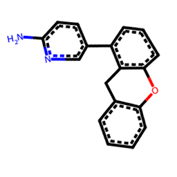 Nc1ccc(-c2cccc3c2Cc2ccccc2O3)cn1